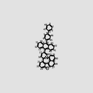 c1ccc(-c2ccc(-c3c4ccccc4c(-c4ccc(-c5cccc6oc7ccc8ccccc8c7c56)nc4)c4ccccc34)cc2)cc1